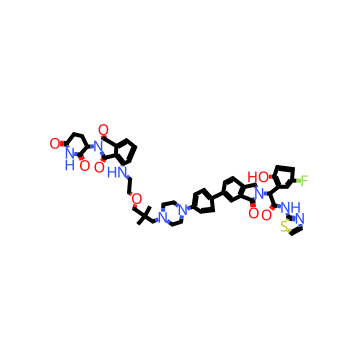 CC(C)(COCCNc1cccc2c1C(=O)N(C1CCC(=O)NC1=O)C2=O)CN1CCN(c2ccc(-c3ccc4c(c3)C(=O)N(C(C(=O)Nc3nccs3)c3cc(F)ccc3O)C4)cc2)CC1